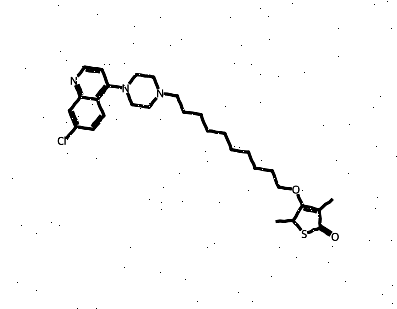 CC1=C(OCCCCCCCCCCN2CCN(c3ccnc4cc(Cl)ccc34)CC2)C(C)SC1=O